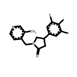 Cc1cnccc1CN1CC(c2cc(F)c(I)c(F)c2)CC1=O